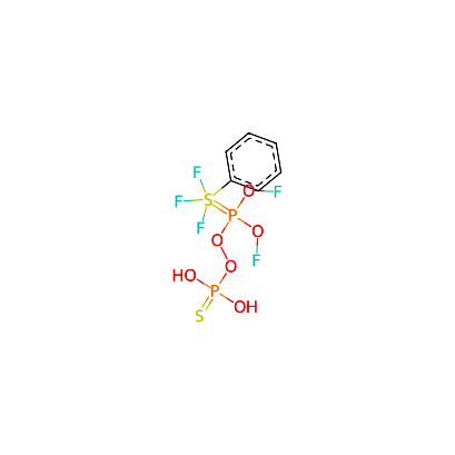 OP(O)(=S)OOP(OF)(OF)=S(F)(F)(F)c1ccccc1